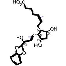 O=C(O)CCC/C=C\C[C@@H]1[C@@H](/C=C/[C@H](O)C2Oc3ccccc3O2)[C@H](O)C[C@@H]1O